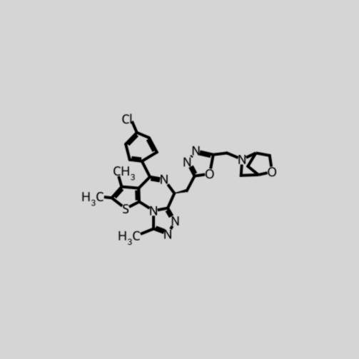 Cc1sc2c(c1C)C(c1ccc(Cl)cc1)=N[C@@H](Cc1nnc(CN3CC4CC3CO4)o1)c1nnc(C)n1-2